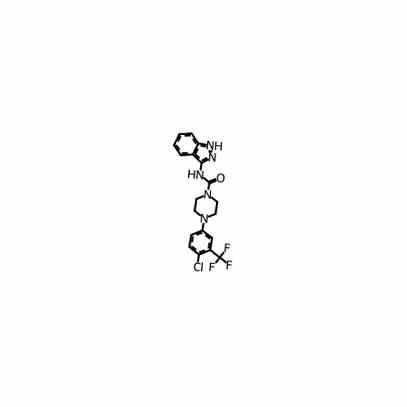 O=C(Nc1n[nH]c2ccccc12)N1CCN(c2ccc(Cl)c(C(F)(F)F)c2)CC1